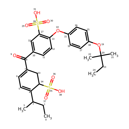 CCC(C)C1=CC=C(C(=O)c2ccc(Oc3ccc(OC(C)(C)CC)cc3)c(S(=O)(=O)O)c2)CC1S(=O)(=O)O